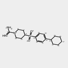 N=C(N)N1CCC(S(=O)(=O)c2ccc(C3CCCCC3)cc2)CC1